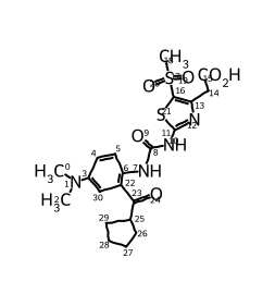 CN(C)c1ccc(NC(=O)Nc2nc(CC(=O)O)c(S(C)(=O)=O)s2)c(C(=O)C2CCCC2)c1